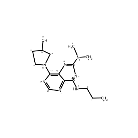 CCCNc1nc(N(C)C)nc2c(N3CCC(O)C3)ncnc12